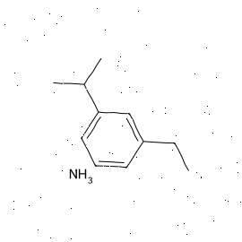 CCc1cccc(C(C)C)c1.N